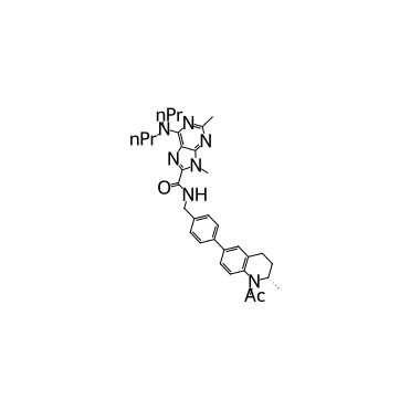 CCCN(CCC)c1nc(C)nc2c1nc(C(=O)NCc1ccc(-c3ccc4c(c3)CC[C@H](C)N4C(C)=O)cc1)n2C